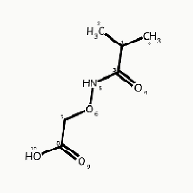 CC(C)C(=O)NOCC(=O)O